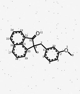 COc1cccc(CC2(C)C(=O)c3cccc4cccc2c34)c1